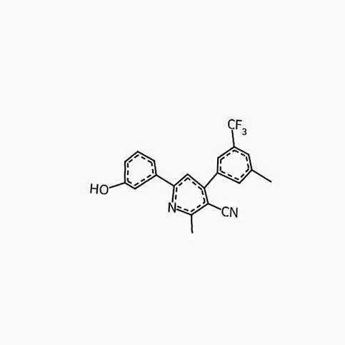 Cc1cc(-c2cc(-c3cccc(O)c3)nc(C)c2C#N)cc(C(F)(F)F)c1